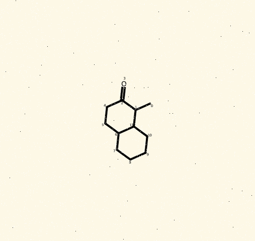 CC1C(=O)CCC2CCCCC21